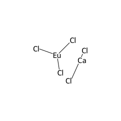 [Cl][Ca][Cl].[Cl][Eu]([Cl])[Cl]